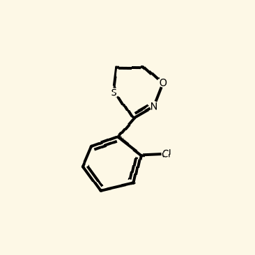 Clc1ccccc1C1=NOCCS1